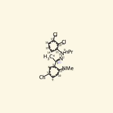 CCCN(/N=C(\C)c1cc(Cl)ccc1NC)c1cccc(Cl)c1Cl